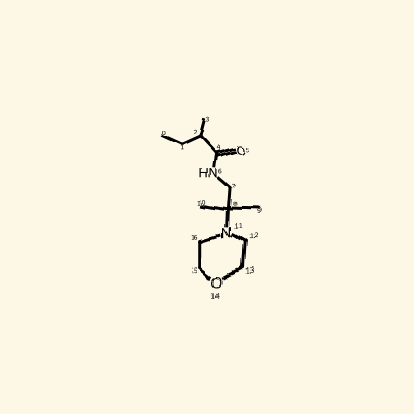 CCC(C)C(=O)NCC(C)(C)N1CCOCC1